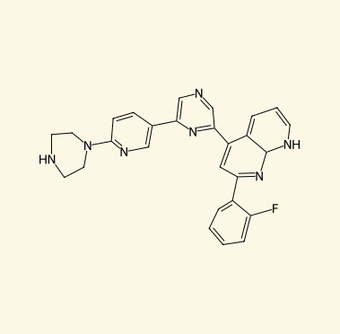 Fc1ccccc1C1=NC2NC=CC=C2C(c2cncc(-c3ccc(N4CCNCC4)nc3)n2)=C1